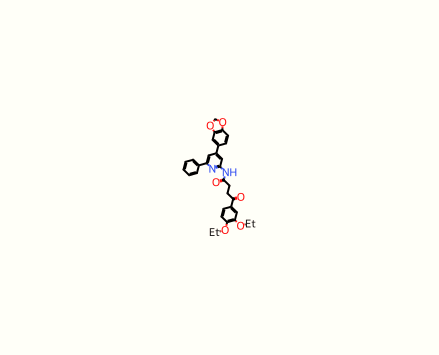 CCOc1ccc(C(=O)CCC(=O)Nc2cc(-c3ccc4c(c3)OCO4)cc(-c3ccccc3)n2)cc1OCC